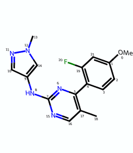 COc1ccc(-c2nc(Nc3cnn(C)c3)ncc2C)c(F)c1